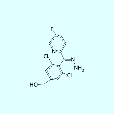 NN=C(c1ccc(F)cn1)c1c(Cl)cc(CO)cc1Cl